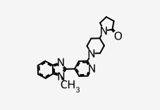 Cn1c(-c2ccnc(N3CCC(N4CCCC4=O)CC3)c2)nc2ccccc21